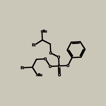 CCCCC(CC)COOP(=O)(OOCC(CC)CCCC)Oc1ccccc1